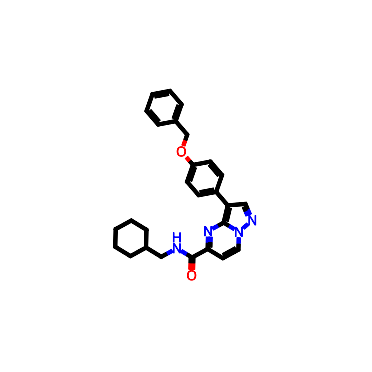 O=C(NCC1CCCCC1)c1ccn2ncc(-c3ccc(OCc4ccccc4)cc3)c2n1